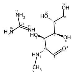 CN[C@@H](C=O)[C@@H](O)[C@H](O)[C@H](O)CO.N=C(N)N